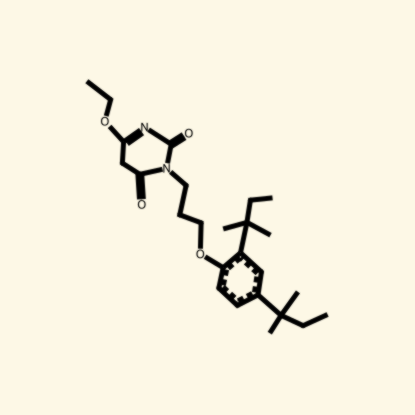 CCOC1=NC(=O)N(CCCOc2ccc(C(C)(C)CC)cc2C(C)(C)CC)C(=O)C1